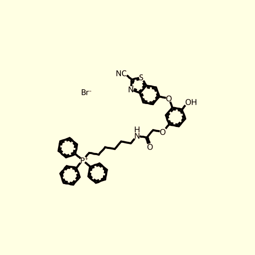 N#Cc1nc2ccc(Oc3cc(OCC(=O)NCCCCCC[P+](c4ccccc4)(c4ccccc4)c4ccccc4)ccc3O)cc2s1.[Br-]